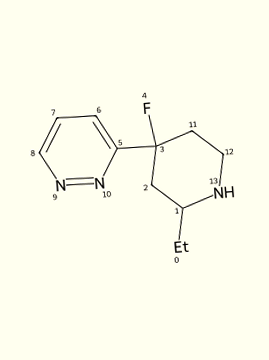 CCC1CC(F)(c2cccnn2)CCN1